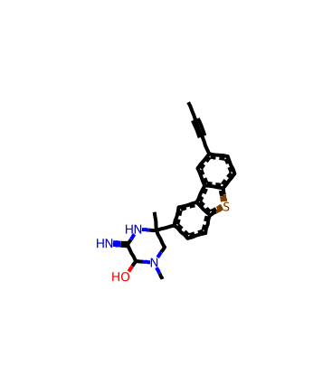 CC#Cc1ccc2sc3ccc(C4(C)CN(C)C(O)C(=N)N4)cc3c2c1